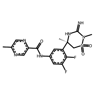 Cc1cnc(C(=O)Nc2cc(F)c(F)c([C@]3(C)CS(=O)(=O)N(C)C(=N)N3)c2)cn1